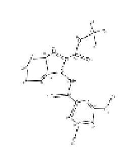 COc1cc(C(=O)NC2C(C(=O)OC(C)(C)C)=Nc3ccccc32)cc(Cl)n1